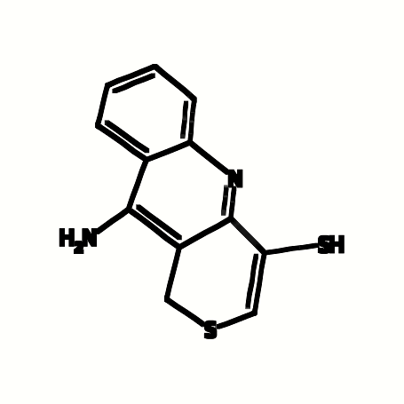 Nc1c2c(nc3ccccc13)C(S)=CSC2